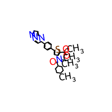 COC(=O)c1sc(-c2ccc(-c3ccn4nccc4n3)cc2)cc1N(C(=O)C1CCC(C)CC1)C(C)C